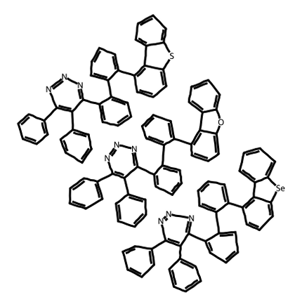 c1ccc(-c2nnnc(-c3ccccc3-c3ccccc3-c3cccc4[se]c5ccccc5c34)c2-c2ccccc2)cc1.c1ccc(-c2nnnc(-c3ccccc3-c3ccccc3-c3cccc4oc5ccccc5c34)c2-c2ccccc2)cc1.c1ccc(-c2nnnc(-c3ccccc3-c3ccccc3-c3cccc4sc5ccccc5c34)c2-c2ccccc2)cc1